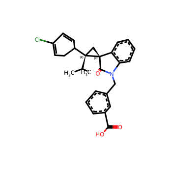 CC(C)[C@@]1(C2C=CC(Cl)=CC2)C[C@@]12C(=O)N(Cc1cccc(C(=O)O)c1)c1ccccc12